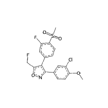 COc1ccc(-c2noc(CF)c2-c2ccc(S(C)(=O)=O)c(F)c2)cc1Cl